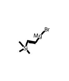 C[Si](C)(C)C=[CH][Mg][Br]